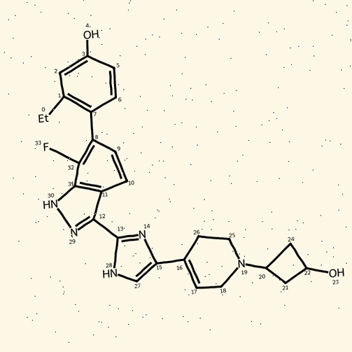 CCc1cc(O)ccc1-c1ccc2c(-c3nc(C4=CCN(C5CC(O)C5)CC4)c[nH]3)n[nH]c2c1F